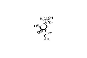 CC[S+]([O-])C(COP(C)(=O)O)C(Cl)=CCl